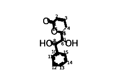 O=C1C=CC[C@H]([C@H](O)[C@H](O)c2ccccc2)O1